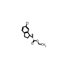 CCOC(=O)[C@H]1C[C@@]12CCc1ccc(Cl)cc12